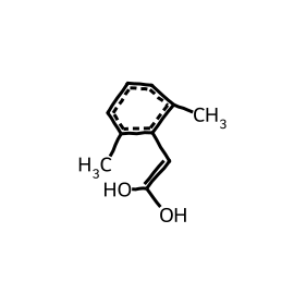 Cc1cccc(C)c1C=C(O)O